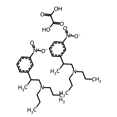 CCCN(CCC)CC(C)c1cccc([N+](=O)[O-])c1.CCCN(CCC)CC(C)c1cccc([N+](=O)[O-])c1.O=C(O)C(=O)O